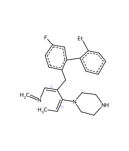 C=N/C=C(Cc1ccc(F)cc1-c1ccccc1CC)\C(=C/C)N1CCNCC1